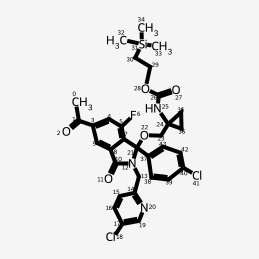 CC(=O)c1cc(F)c2c(c1)C(=O)N(Cc1ccc(Cl)cn1)C2(OCC1(NC(=O)OCC[Si](C)(C)C)CC1)c1ccc(Cl)cc1